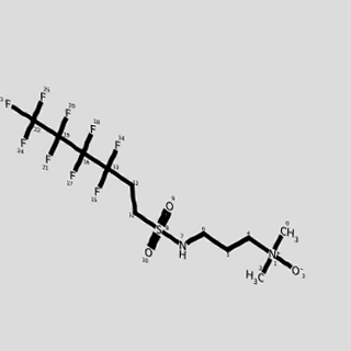 C[N+](C)([O-])CCCNS(=O)(=O)CCC(F)(F)C(F)(F)C(F)(F)C(F)(F)F